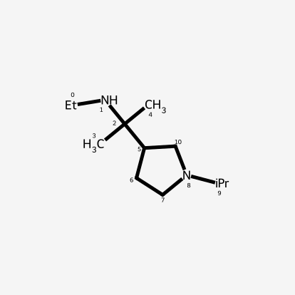 CCNC(C)(C)C1CCN(C(C)C)C1